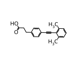 Cc1cccc(C)c1C#Cc1ccc(CCC(=O)O)cc1